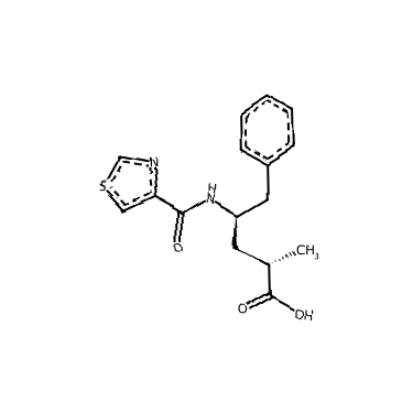 C[C@@H](C[C@H](Cc1ccccc1)NC(=O)c1cscn1)C(=O)O